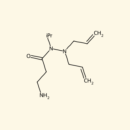 C=CCN(CC=C)N(C(=O)CCN)C(C)C